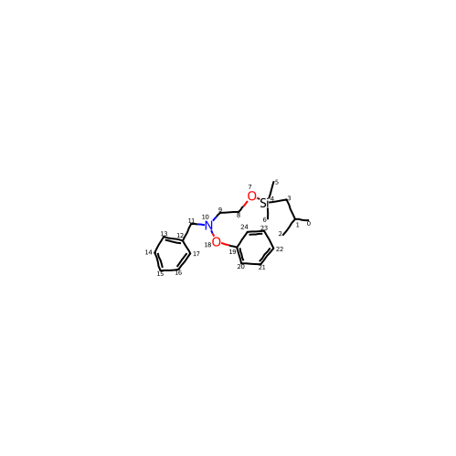 CC(C)C[Si](C)(C)OCCN(Cc1ccccc1)Oc1ccccc1